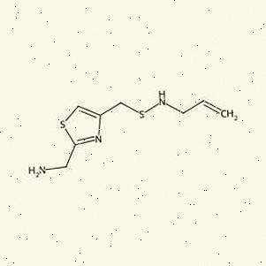 C=CCNSCc1csc(CN)n1